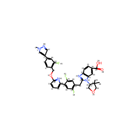 Cn1cc(-c2ccc(COc3cccc(-c4cc(F)c(Cc5nc6ccc(C(=O)O)cc6n5[C@@H]5COCC5(C)C)cc4F)n3)c(F)c2)cn1